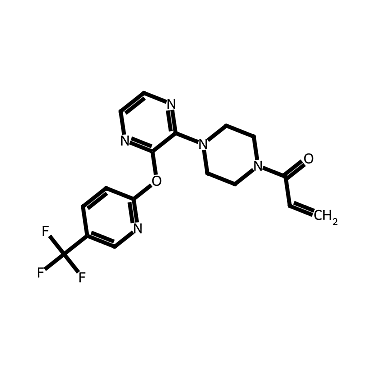 C=CC(=O)N1CCN(c2nccnc2Oc2ccc(C(F)(F)F)cn2)CC1